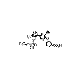 CN(CCC(F)(F)F)C(=O)OCc1c(-c2cnc(O[C@H]3CCC[C@H](C(=O)O)C3)c(C3CC3)n2)nnn1C